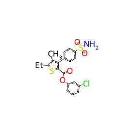 CCc1sc(C(=O)Oc2cccc(Cl)c2)c(-c2ccc(S(N)(=O)=O)cc2)c1C